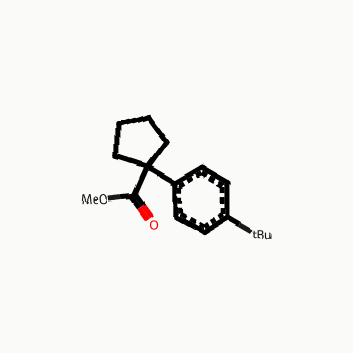 COC(=O)C1(c2ccc(C(C)(C)C)cc2)CCCC1